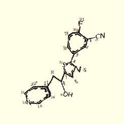 N#Cc1cc(-c2ncc(C(O)Cc3ccncc3)s2)ccc1F